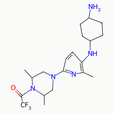 Cc1nc(N2CC(C)N(C(=O)C(F)(F)F)C(C)C2)ccc1NC1CCC(N)CC1